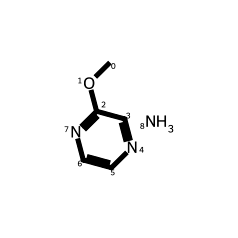 COc1cnccn1.N